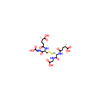 C[C@@H](CCC(=O)N[C@@H](CSSC[C@H](NC(=O)CC[C@H](C)C(=O)O)C(=O)NCC(=O)O)C(=O)NCC(=O)O)C(=O)O